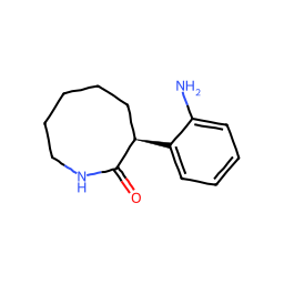 Nc1ccccc1[C@@H]1CCCCCNC1=O